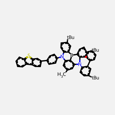 Cc1cc2c3c(c1)N(c1ccc(C(C)(C)C)cc1-c1ccccc1)c1cc(C(C)(C)C)ccc1B3c1cc(C(C)(C)C)ccc1N2c1ccc(-c2ccc3c(c2)sc2ccccc23)cc1